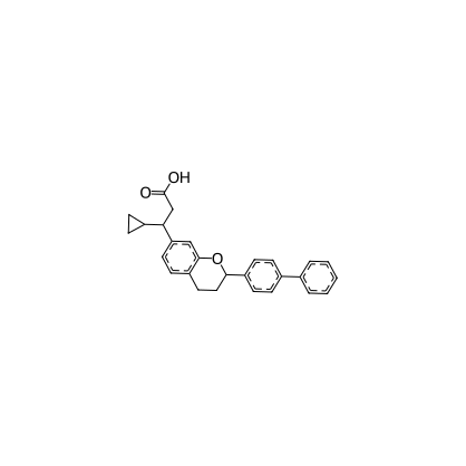 O=C(O)CC(c1ccc2c(c1)OC(c1ccc(-c3ccccc3)cc1)CC2)C1CC1